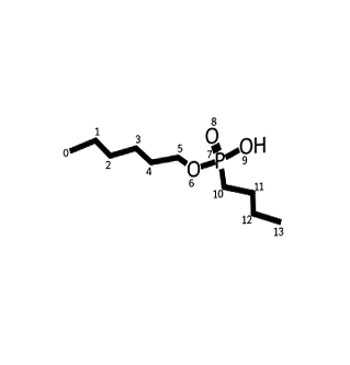 CCCCCCOP(=O)(O)CCCC